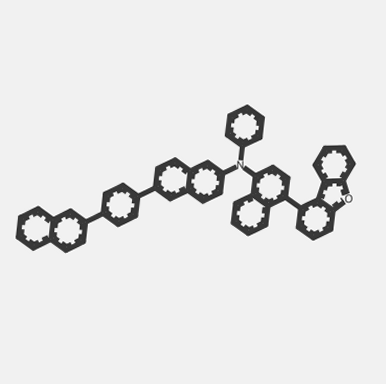 c1ccc(N(c2ccc3cc(-c4ccc(-c5ccc6ccccc6c5)cc4)ccc3c2)c2ccc(-c3cccc4oc5ccccc5c34)c3ccccc23)cc1